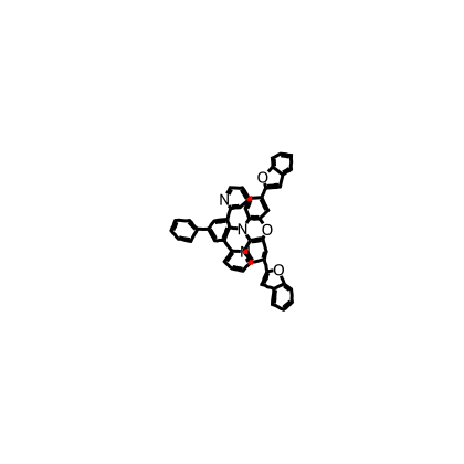 c1ccc(-c2cc(-c3ccccn3)c(N3c4ccc(-c5cc6ccccc6o5)cc4Oc4cc(-c5cc6ccccc6o5)ccc43)c(-c3ccccn3)c2)cc1